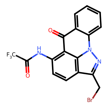 O=C(Nc1ccc2c(CBr)nn3c4ccccc4c(=O)c1c23)C(F)(F)F